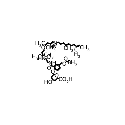 BC(=O)OCc1ccc(OC2CC(O)CC(C(=O)O)O2)c(C(=O)NCC(=O)NC(C)(C)CCOC(C)(C)Cc2cn(CCC/C(C)=C/CC/C(C)=C/C)nn2)c1